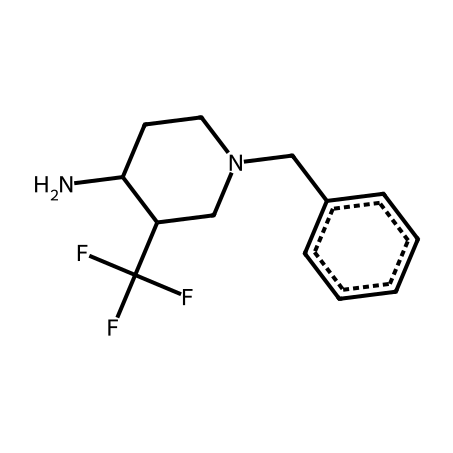 NC1CCN(Cc2ccccc2)CC1C(F)(F)F